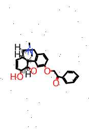 CN1CC[C@]23c4c5ccc(OCC(=O)c6ccccc6)c4O[C@H]2[C@@H](O)C=C[C@H]3[C@H]1C5